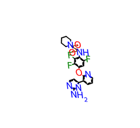 Nc1nccc(-c2cccnc2Oc2cc(F)c(NS(=O)(=O)N3CCCCC3)c(F)c2F)n1